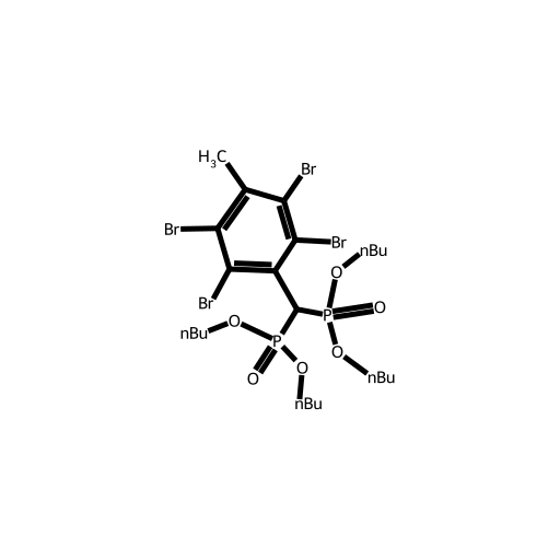 CCCCOP(=O)(OCCCC)C(c1c(Br)c(Br)c(C)c(Br)c1Br)P(=O)(OCCCC)OCCCC